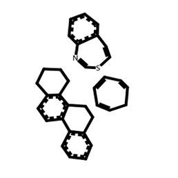 C1=CC=CCC=C1.C1=Cc2ccccc2N=CS1.c1ccc2c(c1)CCc1c-2ccc2c1CCCC2